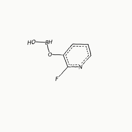 OBOc1cccnc1F